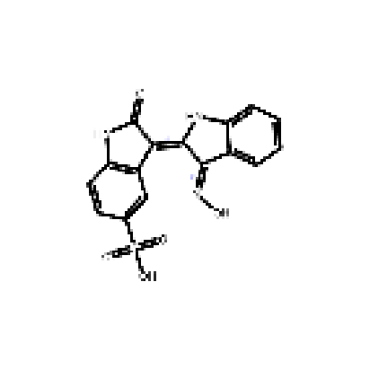 O=C1Nc2ccc(S(=O)(=O)O)cc2/C1=C1/Nc2ccccc2/C1=N\O